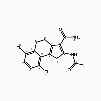 CC(=O)Nc1sc2c(c1C(N)=O)CCc1c(Cl)ccc(Cl)c1-2